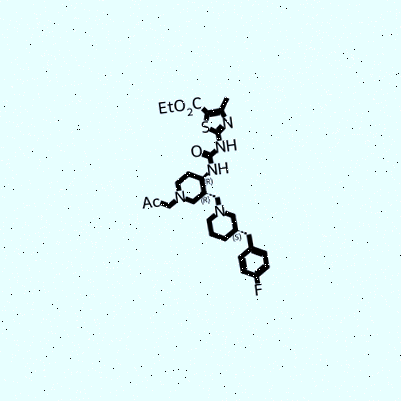 CCOC(=O)c1sc(NC(=O)N[C@@H]2CCN(CC(C)=O)C[C@H]2CN2CCC[C@@H](Cc3ccc(F)cc3)C2)nc1C